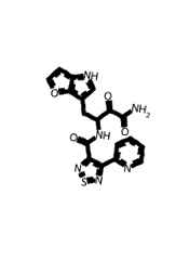 NC(=O)C(=O)C(Cc1c[nH]c2ccoc12)NC(=O)c1nsnc1-c1ccccn1